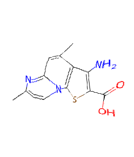 Cc1cn2c(cc(C)c3c(N)c(C(=O)O)sc32)n1